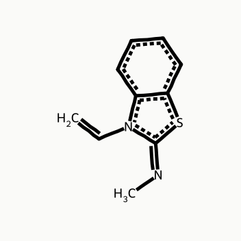 C=Cn1/c(=N\C)sc2ccccc21